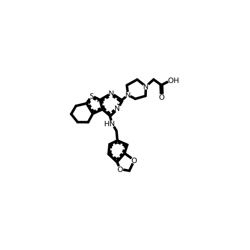 O=C(O)CN1CCN(c2nc(NCc3ccc4c(c3)OCO4)c3c4c(sc3n2)CCCC4)CC1